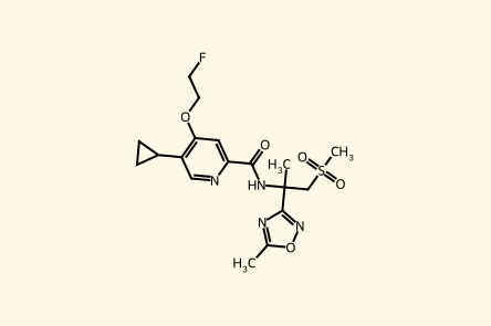 Cc1nc(C(C)(CS(C)(=O)=O)NC(=O)c2cc(OCCF)c(C3CC3)cn2)no1